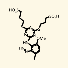 COc1ccc(C)c(N=N)c1Nc1nc(SCCCS(=O)(=O)O)nc(SCCCS(=O)(=O)O)n1